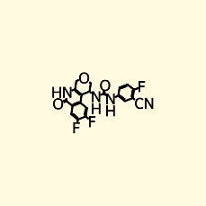 N#Cc1cc(NC(=O)NC2COCc3[nH]c(=O)c4cc(F)c(F)cc4c32)ccc1F